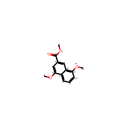 COC(=O)c1cc(OC)c2cccc(OC)c2c1